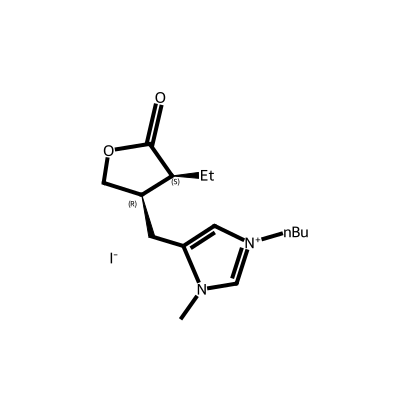 CCCC[n+]1cc(C[C@H]2COC(=O)[C@H]2CC)n(C)c1.[I-]